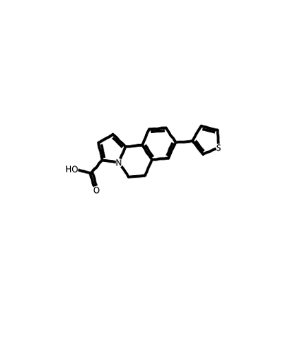 O=C(O)c1ccc2n1CCc1cc(-c3ccsc3)ccc1-2